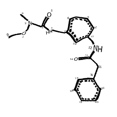 CON(C)C(=O)Nc1cccc(NC(=O)Cc2ccccc2)c1